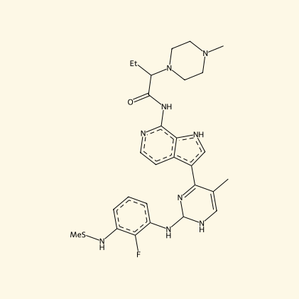 CCC(C(=O)Nc1nccc2c(C3=NC(Nc4cccc(NSC)c4F)NC=C3C)c[nH]c12)N1CCN(C)CC1